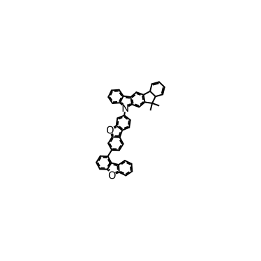 CC1(C)c2cc3c(cc2C2C=CC=CC21)c1ccccc1n3-c1ccc2c(c1)oc1cc(-c3cccc4oc5ccccc5c34)ccc12